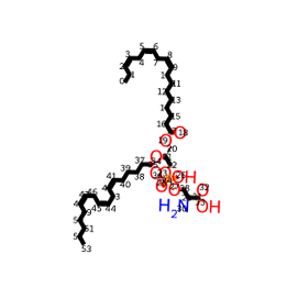 CC/C=C\C/C=C\C/C=C\CCCCCCCC(=O)OC[C@H](COP(=O)(O)OC[C@H](N)C(=O)O)OC(=O)CCCC/C=C\C/C=C\C/C=C\CCCCC